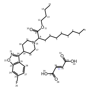 CCCCCCCCC(C(=O)OCCCC)N1CCC(c2noc3cc(F)ccc23)CC1.O=C(O)/C=C/C(=O)O